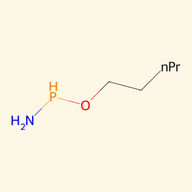 CCCCCOPN